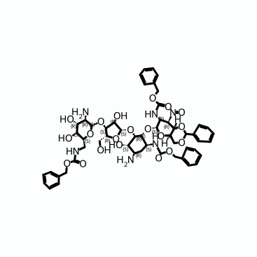 N[C@H]1[C@@H](O[C@H]2[C@@H](O)[C@H](O[C@@H]3[C@@H](O)[C@H](N)C[C@H](NC(=O)OCc4ccccc4)[C@H]3O[C@H]3O[C@@H]4COC(c5ccccc5)O[C@H]4[C@H](N=O)[C@H]3NC(=O)OCc3ccccc3)O[C@@H]2CO)O[C@@H](CNC(=O)OCc2ccccc2)[C@@H](O)[C@@H]1O